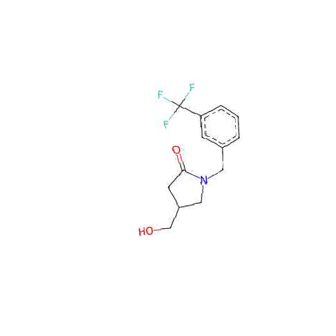 O=C1CC(CO)CN1Cc1cccc(C(F)(F)F)c1